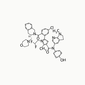 Cc1c(C(=O)N(c2ccc(O)cc2)c2cnc3c(c2)CCN3C)cc(-c2cc(Cl)ccc2C(=O)N2Cc3ccccc3C[C@H]2CN2CCOCC2)n1CC(F)F